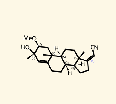 CO[C@H]1C[C@@]2(C)C(=C[C@]1(C)O)CC[C@@H]1[C@@H]2CC[C@]2(C)/C(=C\C#N)CC[C@@H]12